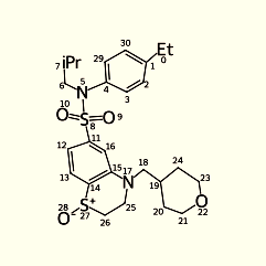 CCc1ccc(N(CC(C)C)S(=O)(=O)c2ccc3c(c2)N(CC2CCOCC2)CC[S+]3[O-])cc1